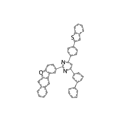 c1ccc(-c2cccc(-c3cc(-c4ccc(-c5cc6ccccc6s5)cc4)nc(-c4ccc5oc6cc7ccccc7cc6c5c4)n3)c2)cc1